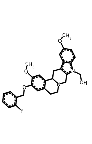 COc1ccc2c(c1)c1c(n2CO)CN2CCc3cc(OCc4ccccc4F)c(OC)cc3C2C1